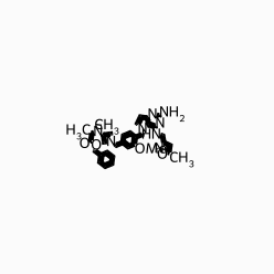 COc1cc(CN2CC(N(C)C(C)C(=O)OCc3ccccc3)C2)ccc1Cn1ccc2nc(N)nc(NCc3cc(C)on3)c21